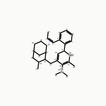 C/C=C\c1ccccc1C1C=C(CC2C(C)CC3CCCC2C3)C([SiH](C)C)=C(C)N1